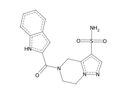 NS(=O)(=O)c1cnn2c1CN(C(=O)c1cc3ccccc3[nH]1)CC2